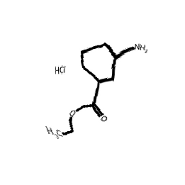 CCOC(=O)C1CCCC(N)C1.Cl